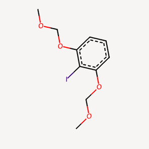 COCOc1cccc(OCOC)c1I